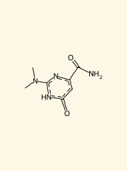 CN(C)c1nc(C(N)=O)cc(=O)[nH]1